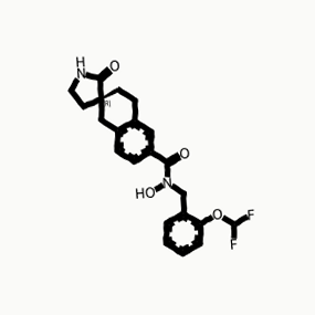 O=C(c1ccc2c(c1)CC[C@]1(CCNC1=O)C2)N(O)Cc1ccccc1OC(F)F